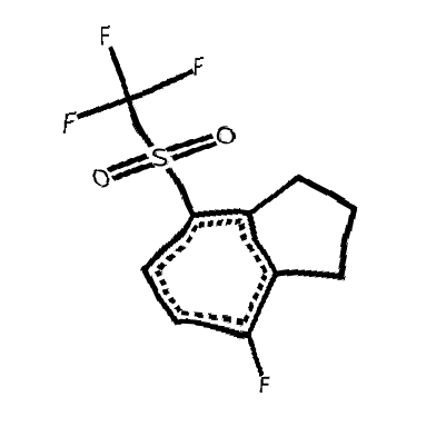 O=S(=O)(c1ccc(F)c2c1CCC2)C(F)(F)F